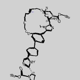 CC(C)(C)OC(=O)N1CCC[C@H]1c1ncc(-c2ccc(-c3ccc4c(c3)OCCCCC/C=C/CO[C@H]3C[C@@H](c5ncc-4[nH]5)N(C(=O)OC(C)(C)C)C3)cc2)[nH]1